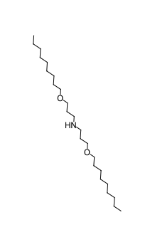 CCCCCCCCCOCCCNCCCOCCCCCCCCC